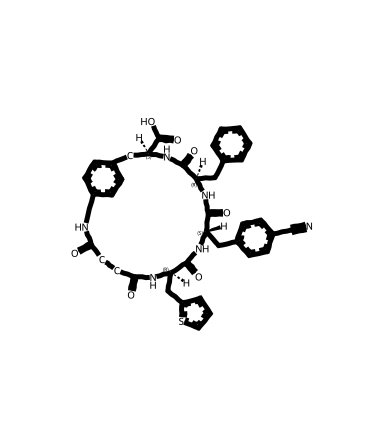 N#Cc1ccc(C[C@@H]2NC(=O)[C@@H](Cc3cccs3)NC(=O)CCC(=O)Nc3ccc(cc3)C[C@@H](C(=O)O)NC(=O)[C@@H](Cc3ccccc3)NC2=O)cc1